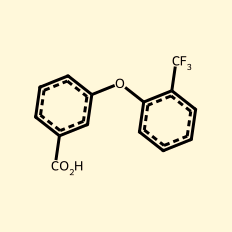 O=C(O)c1cccc(Oc2ccccc2C(F)(F)F)c1